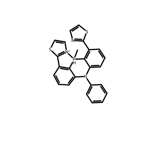 C[PH]12c3c(-c4nccs4)cccc3N(c3ccccc3)c3cccc(c31)-c1scc[n+]12